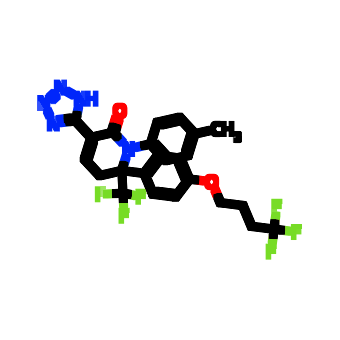 Cc1ccc(N2C(=O)C(c3nnn[nH]3)=CCC2(c2ccc(OCCCC(F)(F)F)cc2)C(F)(F)F)cc1